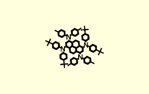 Cc1ccc(N(c2ccc(C)cc2)c2cc(N(c3ccc(C(C)(C)C)cc3)c3ccc(C(C)(C)C)cc3)c3ccc4c(N(c5ccc(C)cc5)c5ccc(C)cc5)cc(N(c5ccc(C(C)(C)C)cc5)c5ccc(C(C)(C)C)cc5)c5ccc2c3c45)cc1